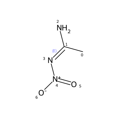 C/C(N)=N\[N+](=O)[O-]